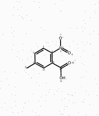 [CH2]c1ccc([N+](=O)[O-])c(C(=O)O)c1